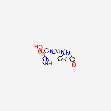 COc1ccc(CN2CCN(C3CC4(CCN(c5ccc(C(=O)O)c(Oc6cnc7[nH]ccc7c6)c5)CC4)C3)C(c3ccccc3C(C)C)C2)cc1